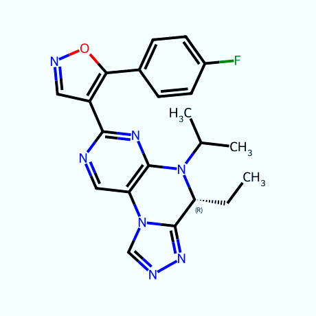 CC[C@@H]1c2nncn2-c2cnc(-c3cnoc3-c3ccc(F)cc3)nc2N1C(C)C